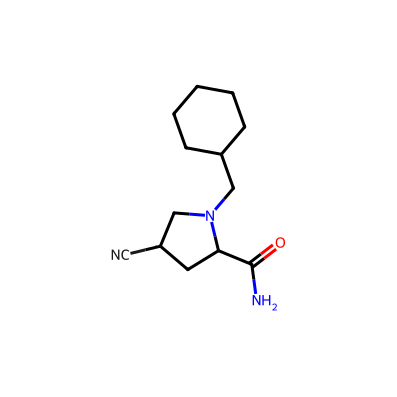 N#C[C]1CC(C(N)=O)N(CC2CCCCC2)C1